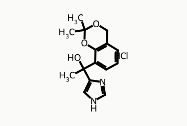 CC1(C)OCc2cccc(C(C)(O)c3c[nH]cn3)c2O1.Cl